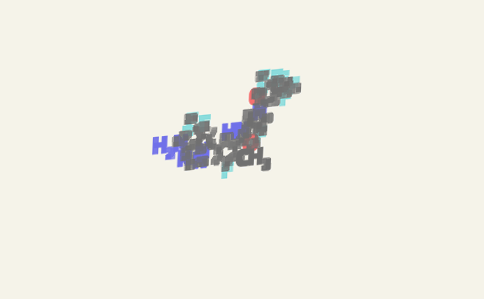 Cc1c(F)cc(-c2cc(C(F)(F)F)c3c(N)ncnn23)cc1C(=O)N[C@@H]1CN(C(=O)CC(C(F)(F)F)C(F)(F)F)C[C@@H]1F